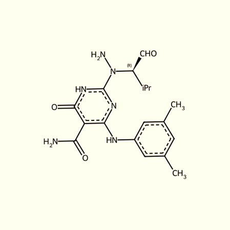 Cc1cc(C)cc(Nc2nc(N(N)[C@@H](C=O)C(C)C)[nH]c(=O)c2C(N)=O)c1